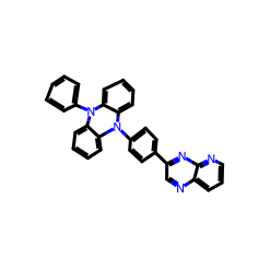 c1ccc(N2c3ccccc3N(c3ccc(-c4cnc5cccnc5n4)cc3)c3ccccc32)cc1